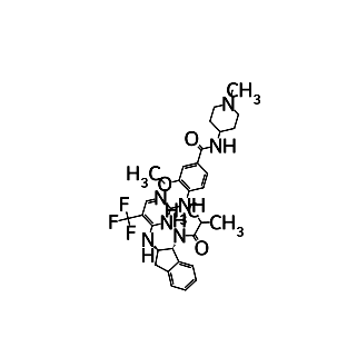 COc1cc(C(=O)NC2CCN(C)CC2)ccc1Nc1ncc(C(F)(F)F)c(N[C@@H]2Cc3ccccc3[C@H]2NC(=O)C(C)C)n1